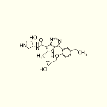 CCc1ccc(OCC2CC2)c(-c2ncnc3c(C(=O)N[C@@H]4CNC[C@@H]4O)c(C)[nH]c23)c1.Cl